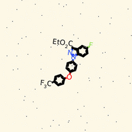 CCOC(=O)c1nn(-c2ccc(Oc3ccc(C(F)(F)F)cc3)cc2)c2ccc(F)cc12